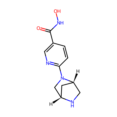 O=C(NO)c1ccc(N2C[C@@H]3C[C@H]2CN3)nc1